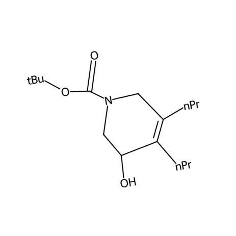 CCCC1=C(CCC)C(O)CN(C(=O)OC(C)(C)C)C1